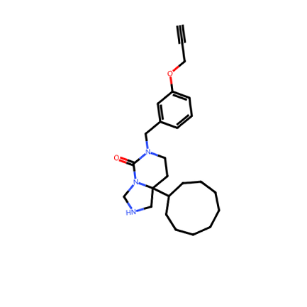 C#CCOc1cccc(CN2CCC3(C4CCCCCCCC4)CNCN3C2=O)c1